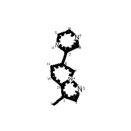 Cc1cnn2cc(-c3cnccn3)ccc12